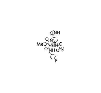 COc1c(C(=O)NCc2ccc(F)c(C)c2)nc2n(c1=O)CC1(c3ncc[nH]3)CCC2(NC(=O)C(=O)N(C)C)CC1